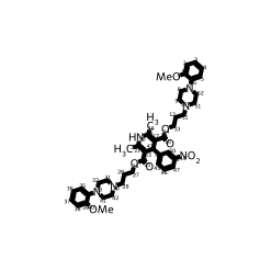 COc1ccccc1N1CCN(CCCOC(=O)C2=C(C)NC(C)=C(C(=O)OCCCN3CCN(c4ccccc4OC)CC3)C2c2cccc([N+](=O)[O-])c2)CC1